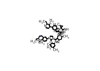 CCC/C=C\c1cc(-n2ccn(-c3c4c(nn3-c3cc(C)cc(C)c3)CC(C)N(C(=O)c3cc5cc(-c6ccnc(CC)c6C)ccc5n3[C@@]3(C(=N)NN(O)O)C[C@@H]3C)C4)c2=O)ccc1NC